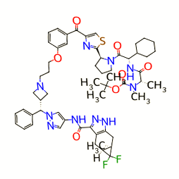 C[C@@H](C(=O)N[C@H](C(=O)N1CCC[C@H]1c1nc(C(=O)c2cccc(OCCCN3CC([C@@H](c4ccccc4)n4cc(NC(=O)c5n[nH]c6c5C[C@@H]5C(F)(F)[C@]5(C)C6)cn4)C3)c2)cs1)C1CCCCC1)N(C)C(=O)OC(C)(C)C